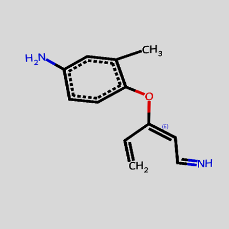 C=C/C(=C\C=N)Oc1ccc(N)cc1C